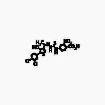 CC(=NNC(=S)Nc1ccc(C(=O)O)c([N+](=O)[O-])c1)c1csc(-c2ccc(Cl)c(Cl)c2)c1O